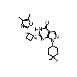 Cc1nc([C@H]2CC[C@H]2c2nc3c(cnn3C3CCC(F)(F)CC3)c(=O)[nH]2)oc1C